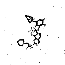 C[C@@H](CN1CCCCC1)Oc1ncc2ccc(C3(N)Nc4c(N5CC6CC(C5)N6)cc(Cl)c(F)c4S3)c(F)c2n1